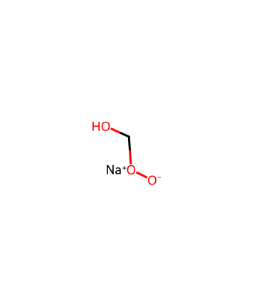 [Na+].[O-]OCO